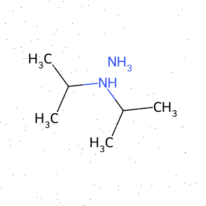 CC(C)NC(C)C.N